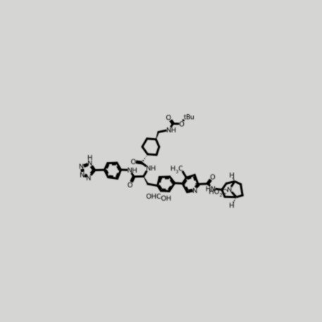 Cc1cc(C(=O)NC2C[C@H]3CC[C@@H](C2)N3C(=O)O)ncc1-c1ccc(C[C@H](NC(=O)[C@H]2CC[C@H](CNC(=O)OC(C)(C)C)CC2)C(=O)Nc2ccc(-c3nnn[nH]3)cc2)cc1.O=CO